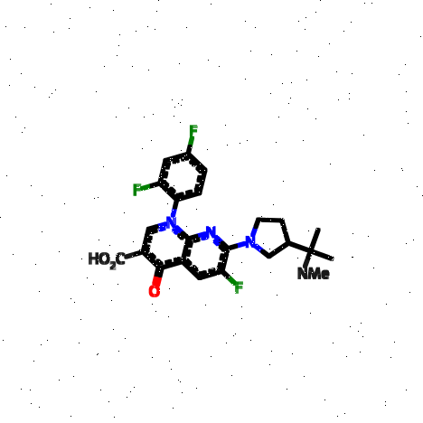 CNC(C)(C)C1CCN(c2nc3c(cc2F)c(=O)c(C(=O)O)cn3-c2ccc(F)cc2F)C1